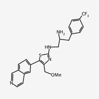 COCc1nc(NCC(N)Cc2ccc(C(F)(F)F)cc2)sc1-c1ccc2cnccc2c1